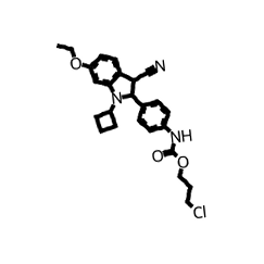 CCOc1ccc2c(c1)N(C1CCC1)C(c1ccc(NC(=O)OCCCCl)cc1)C2C#N